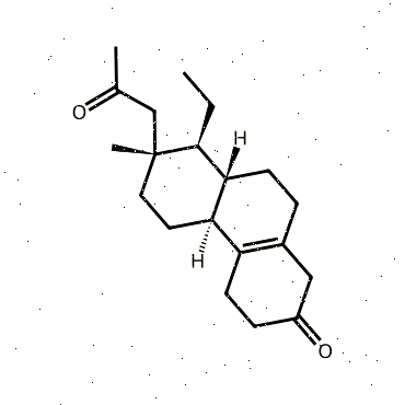 CC[C@H]1[C@@H]2CCC3=C(CCC(=O)C3)[C@H]2CC[C@]1(C)CC(C)=O